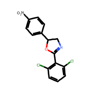 O=[N+]([O-])c1ccc(C2CN=C(c3c(Cl)cccc3Cl)O2)cc1